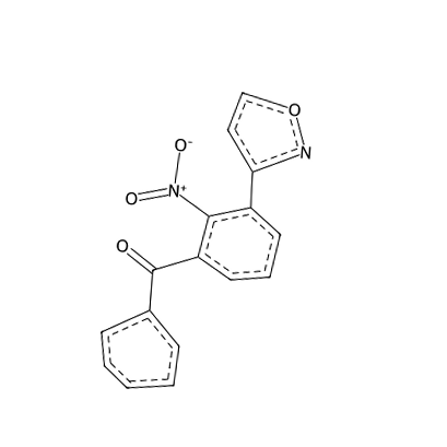 O=C(c1ccccc1)c1cccc(-c2ccon2)c1[N+](=O)[O-]